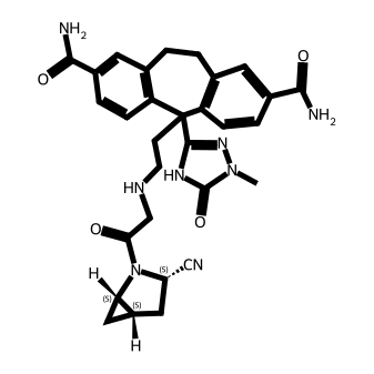 Cn1nc(C2(CCNCC(=O)N3[C@H](C#N)C[C@@H]4C[C@@H]43)c3ccc(C(N)=O)cc3CCc3cc(C(N)=O)ccc32)[nH]c1=O